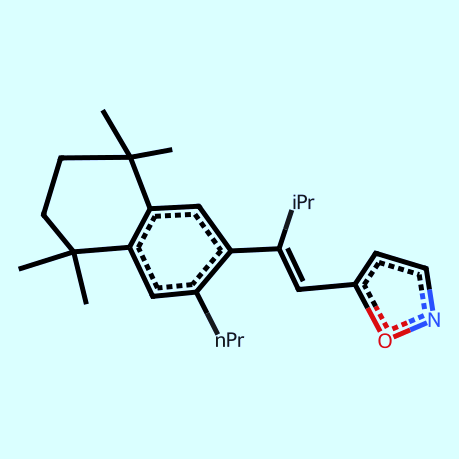 CCCc1cc2c(cc1C(=Cc1ccno1)C(C)C)C(C)(C)CCC2(C)C